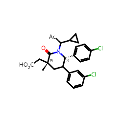 CC(=O)C(C1CC1)N1C(=O)[C@@](C)(CC(=O)O)CC(c2cccc(Cl)c2)[C@H]1c1ccc(Cl)cc1